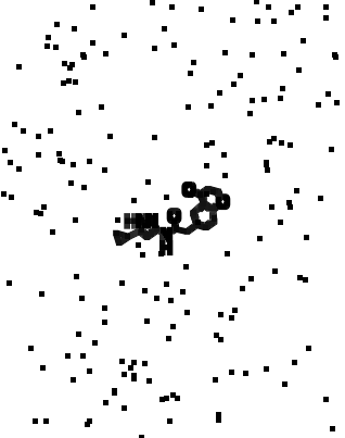 O=C(Cc1ccc2occc(=O)c2c1)Nc1cc(C2CC2)[nH]n1